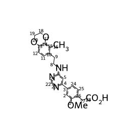 COc1cc(-c2cc(NCCc3ccc4c(c3C)OCCO4)ncn2)ccc1CC(=O)O